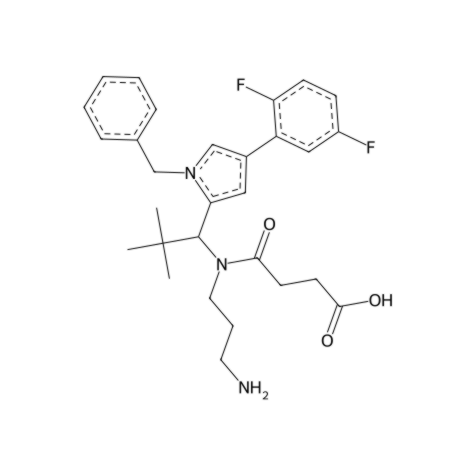 CC(C)(C)C(c1cc(-c2cc(F)ccc2F)cn1Cc1ccccc1)N(CCCN)C(=O)CCC(=O)O